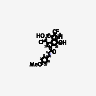 COc1ccc(/C=C/C(=O)N2C[C@@H](CCl)c3c2cc(O)c2[nH]c(C(F)(F)F)c(C(=O)O)c32)cc1